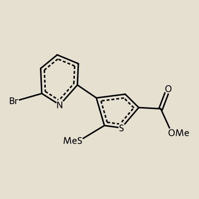 COC(=O)c1cc(-c2cccc(Br)n2)c(SC)s1